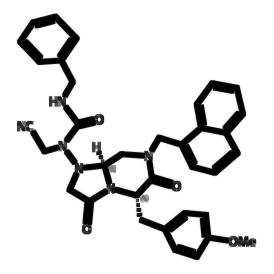 COc1ccc(C[C@H]2C(=O)N(Cc3cccc4ccccc34)C[C@H]3N2C(=O)CN3N(CC#N)C(=O)NCc2ccccc2)cc1